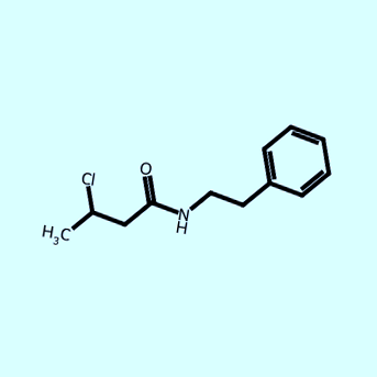 CC(Cl)CC(=O)NCCc1ccccc1